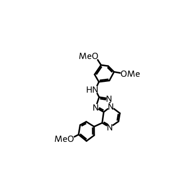 COc1ccc(-c2nccn3nc(Nc4cc(OC)cc(OC)c4)nc23)cc1